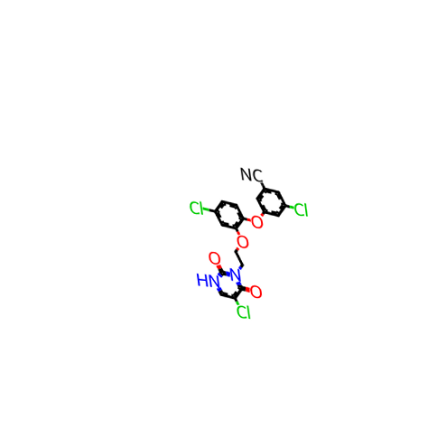 N#Cc1cc(Cl)cc(Oc2ccc(Cl)cc2OCCn2c(=O)[nH]cc(Cl)c2=O)c1